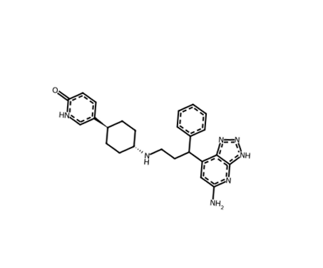 Nc1cc(C(CCN[C@H]2CC[C@H](c3ccc(=O)[nH]c3)CC2)c2ccccc2)c2nn[nH]c2n1